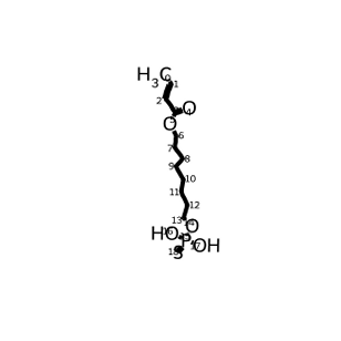 CC=CC(=O)OCCCCCCCCOP(O)(O)=S